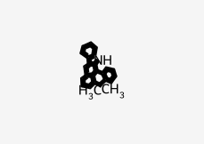 CC1(C)c2ccccc2-c2c3[nH]c4ccccc4c3cc3cccc1c23